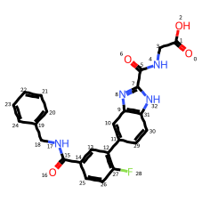 O=C(O)CNC(=O)c1nc2cc(-c3cc(C(=O)NCc4ccccc4)ccc3F)ccc2[nH]1